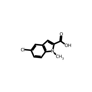 Cn1c(C(=O)O)cc2cc(Cl)ccc21